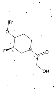 CC(C)OC1CCN(C(=O)CO)C[C@H]1F